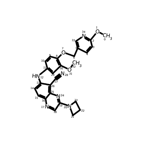 COc1ccc(COc2ccc(Nc3ccc4ncc(N5CCC5)nc4c3C#N)cc2OC)cn1